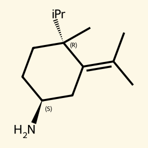 CC(C)=C1C[C@@H](N)CC[C@]1(C)C(C)C